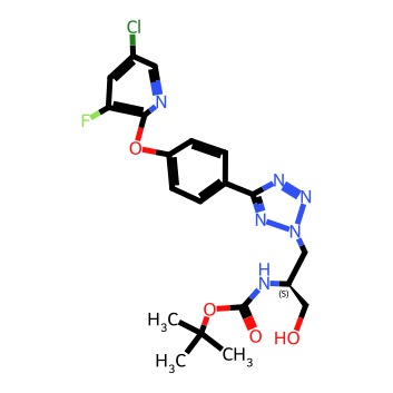 CC(C)(C)OC(=O)N[C@H](CO)Cn1nnc(-c2ccc(Oc3ncc(Cl)cc3F)cc2)n1